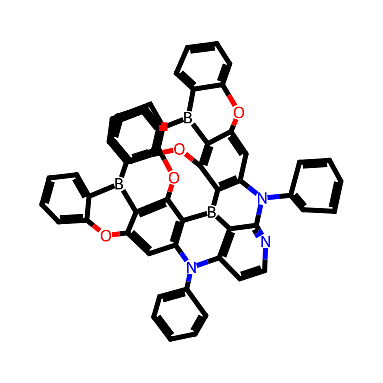 c1ccc(N2c3ccnc4c3B(c3c2cc2c5c3Oc3ccccc3B5c3ccccc3O2)c2c(cc3c5c2Oc2ccccc2B5c2ccccc2O3)N4c2ccccc2)cc1